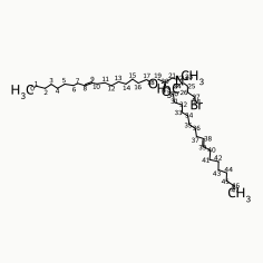 CCCCCCCCC=CCCCCCCCCOCC(C[N+](C)(C)CCCBr)OCCCCCCCCC=CCCCCCCCC